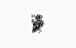 CCCC[C@H](C(=O)N[C@@H](Cc1cc(F)cc(F)c1)c1ncccc1-c1ccc(F)c(C(N)=O)c1)n1ccc(C(F)(F)F)n1